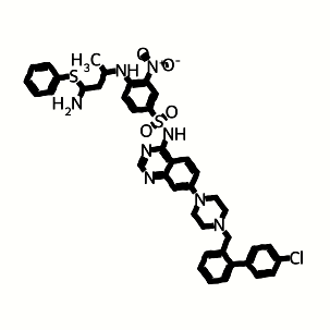 CC(CC(N)Sc1ccccc1)Nc1ccc(S(=O)(=O)Nc2ncnc3cc(N4CCN(Cc5ccccc5-c5ccc(Cl)cc5)CC4)ccc23)cc1[N+](=O)[O-]